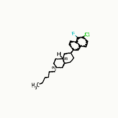 CCCCCC[C@@H]1CC[C@@H]2CC(c3ccc4c(F)c(Cl)ccc4c3)CCC2C1